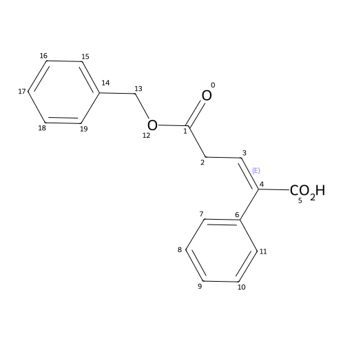 O=C(C/C=C(/C(=O)O)c1ccccc1)OCc1ccccc1